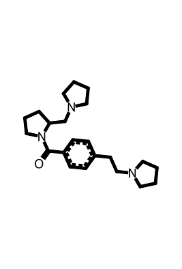 O=C(c1ccc(CCN2CCCC2)cc1)N1CCCC1CN1CCCC1